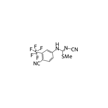 CS/C(=N\C#N)Nc1ccc(C#N)c(S(F)(F)(F)(F)F)c1